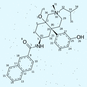 COC12CC[C@H](NC(=O)c3ccc4ccccc4c3)C[C@@]1(c1cccc(O)c1)CC[N@@+](C)(CC(C)C)C2